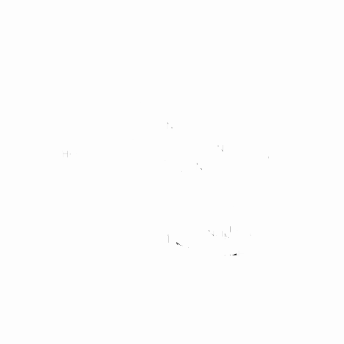 COc1cc(C(=O)N2C[C@H]3CC[C@@H]2[C@@H]3N)cc2nc(-c3cc4cccc(C5CCC(O)CC5)c4n3CC3CC3)n(C)c12